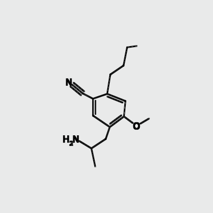 CCCCc1cc(OC)c(CC(C)N)cc1C#N